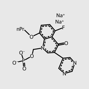 CCCOc1ccc(F)c2c(=O)c(-c3cncnc3)cn(COP(=O)([O-])[O-])c12.[Na+].[Na+]